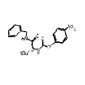 CC(C)(C)[C@@H](NC(=O)Oc1ccc([N+](=O)[O-])cc1)C(=O)NCc1ccccc1